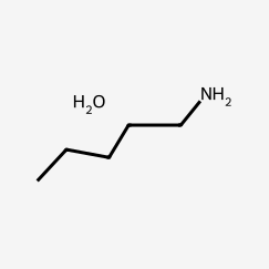 CCCCCN.O